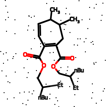 CCCCC(CC)COC(=O)C1=C(C(=O)OCC(CC)CCCC)CC(C)C(C)C=C1